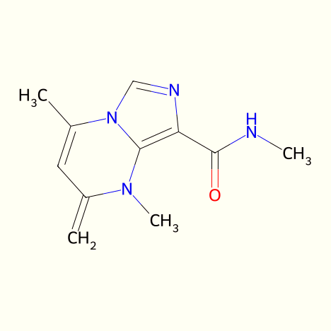 C=C1C=C(C)n2cnc(C(=O)NC)c2N1C